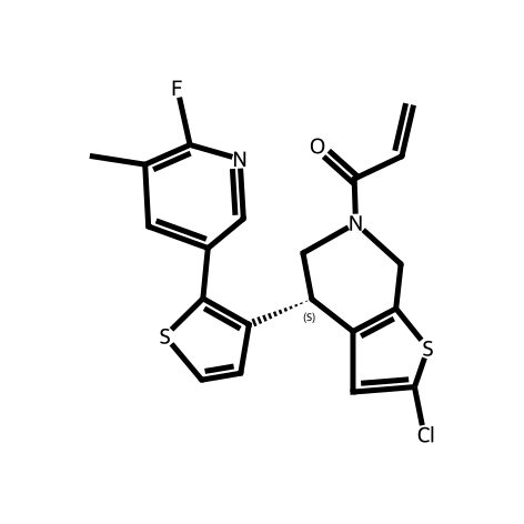 C=CC(=O)N1Cc2sc(Cl)cc2[C@H](c2ccsc2-c2cnc(F)c(C)c2)C1